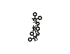 Cc1sc(-c2ccc(-c3ccc(-c4ccc(-c5sc(C)c(-c6ccccc6)c5-c5ccccc5)s4)c4nsnc34)s2)c(-c2ccccc2)c1-c1ccccc1